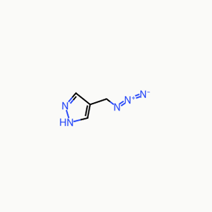 [N-]=[N+]=NCc1cn[nH]c1